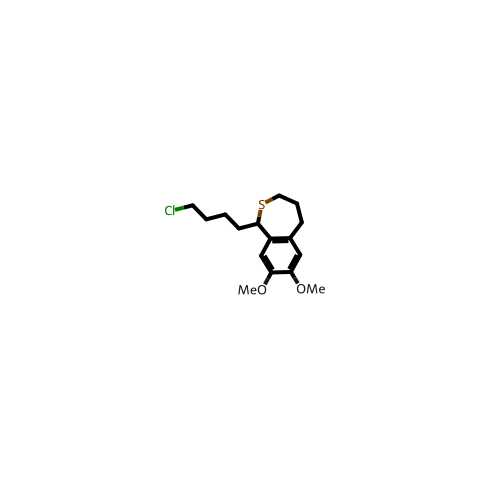 COc1cc2c(cc1OC)C(CCCCCl)SCCC2